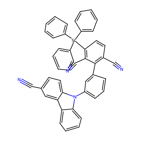 N#Cc1ccc2c(c1)c1ccccc1n2-c1cccc(-c2c(C#N)ccc([Si](c3ccccc3)(c3ccccc3)c3ccccc3)c2C#N)c1